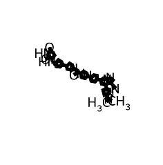 CN(C)c1ccc(-c2cc(-c3ccc(N4CCN(C(=O)CN5CCC(c6ccc(NC7CCC(=O)NC7=O)cc6)CC5)CC4)cc3)cn3ncc(C#N)c23)cn1